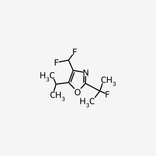 CC(C)c1oc(C(C)(C)F)nc1C(F)F